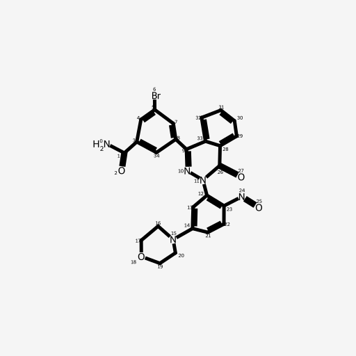 NC(=O)c1cc(Br)cc(-c2nn(-c3cc(N4CCOCC4)ccc3N=O)c(=O)c3ccccc23)c1